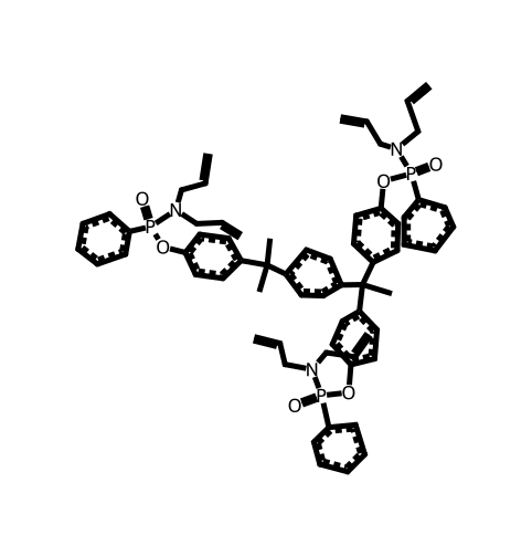 C=CCN(CC=C)P(=O)(Oc1ccc(C(C)(C)c2ccc(C(C)(c3ccc(OP(=O)(c4ccccc4)N(CC=C)CC=C)cc3)c3ccc(OP(=O)(c4ccccc4)N(CC=C)CC=C)cc3)cc2)cc1)c1ccccc1